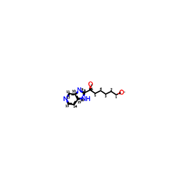 [O]CCCCCC(=O)c1nc2cnccc2[nH]1